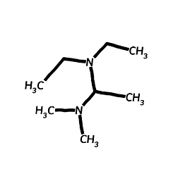 CCN(CC)C(C)N(C)C